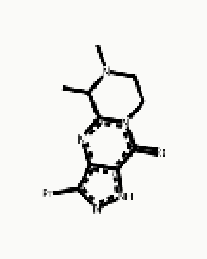 CC(C)c1n[nH]c2c(=O)n3c(nc12)C(C)N(C)CC3